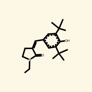 CCN1CC/C(=C/c2cc(C(C)(C)C)c(O)c(C(C)(C)C)c2)C1=O